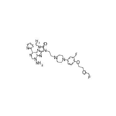 Cn1c(=O)n(CCN2CCN(c3ccc(OCCOCF)c(F)c3)CC2)c2nc3c(n21)C(c1nccs1)=NCN3N